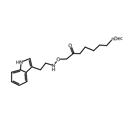 CCCCCCCCCCCCCCCC(=O)CONCCc1c[nH]c2ccccc12